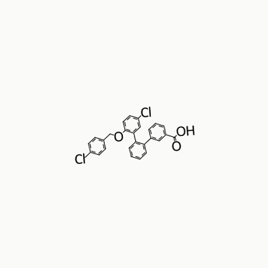 O=C(O)c1cccc(-c2ccccc2-c2cc(Cl)ccc2OCc2ccc(Cl)cc2)c1